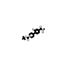 CNC(=O)c1ccc(C2=CCN(C(=O)OC(C)(C)C)CC2)c(F)c1